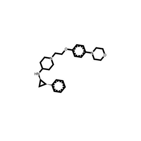 c1ccc([C@@H]2C[C@H]2NC2CCN(CCOc3ccc(N4CCOCC4)cc3)CC2)cc1